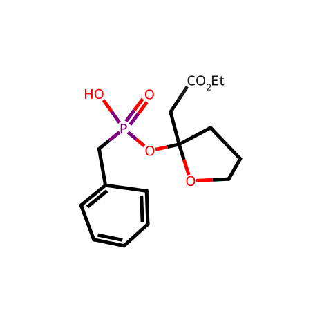 CCOC(=O)CC1(OP(=O)(O)Cc2ccccc2)CCCO1